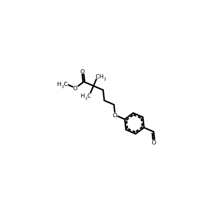 COC(=O)C(C)(C)CCCOc1ccc(C=O)cc1